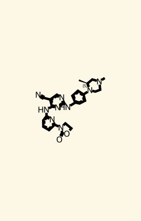 C[C@H]1CN(C)CCN1c1ccc(Nc2ncc(C#N)c(Nc3cccc(N4CCOC4=O)n3)n2)cc1